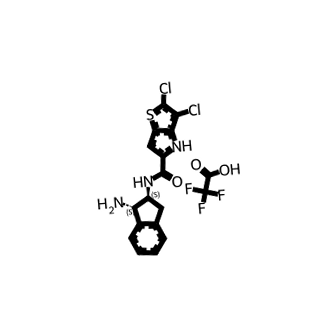 N[C@H]1c2ccccc2C[C@@H]1NC(=O)c1cc2sc(Cl)c(Cl)c2[nH]1.O=C(O)C(F)(F)F